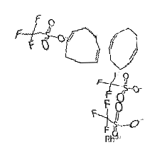 C1=CCCC=CCC1.C1=CCCC=CCC1.O=S(=O)([O-])C(F)(F)F.O=S(=O)([O-])C(F)(F)F.O=S(=O)([O-])C(F)(F)F.[Rh+3]